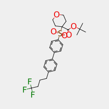 CC(C)(C)OC(=O)C1(S(=O)(=O)c2ccc(-c3ccc(CCCC(F)(F)F)cc3)cc2)CCOCC1